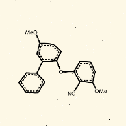 COc1ccc(Oc2cccc(OC)c2C#N)c(-c2ccccc2)c1